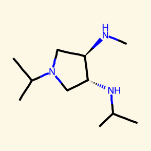 CN[C@@H]1CN(C(C)C)C[C@H]1NC(C)C